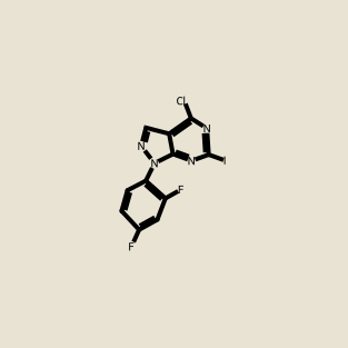 Fc1ccc(-n2ncc3c(Cl)nc(I)nc32)c(F)c1